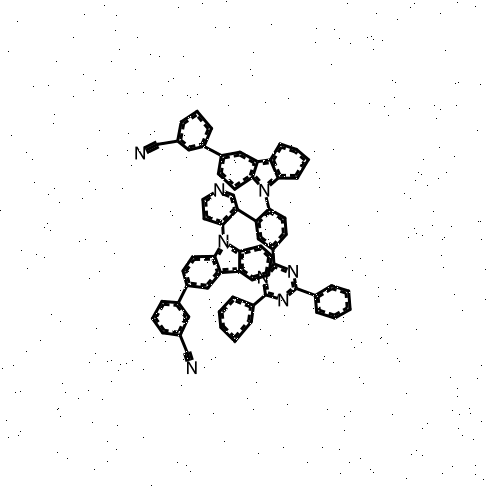 N#Cc1cccc(-c2ccc3c(c2)c2ccccc2n3-c2ccncc2-c2cc(-c3nc(-c4ccccc4)nc(-c4ccccc4)n3)ccc2-n2c3ccccc3c3cc(-c4cccc(C#N)c4)ccc32)c1